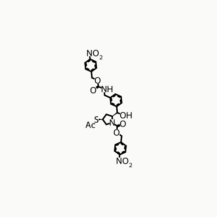 CC(=O)S[C@H]1C[C@@H](C(O)c2cccc(CNC(=O)OCc3ccc([N+](=O)[O-])cc3)c2)N(C(=O)OCc2ccc([N+](=O)[O-])cc2)C1